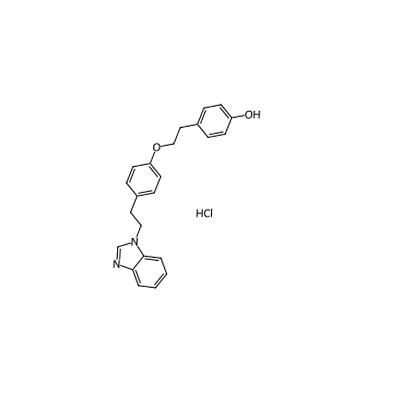 Cl.Oc1ccc(CCOc2ccc(CCn3cnc4ccccc43)cc2)cc1